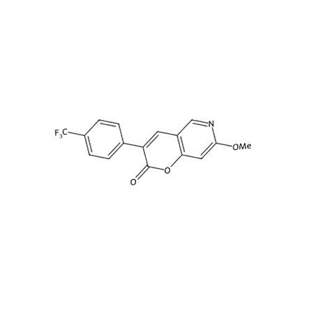 COc1cc2oc(=O)c(-c3ccc(C(F)(F)F)cc3)cc2cn1